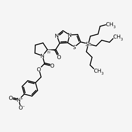 CCC[CH2][Sn]([CH2]CCC)([CH2]CCC)[c]1cn2cnc(C(=O)[C@@H]3CCCN3C(=O)OCc3ccc([N+](=O)[O-])cc3)c2s1